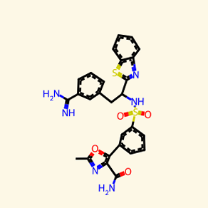 Cc1nc(C(N)=O)c(-c2cccc(S(=O)(=O)NC(Cc3cccc(C(=N)N)c3)c3nc4ccccc4s3)c2)o1